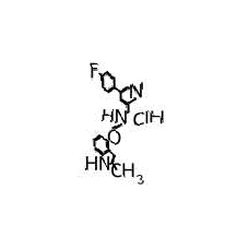 Cc1cc2c(OCCNCc3cncc(-c4ccc(F)cc4)c3)cccc2[nH]1.Cl